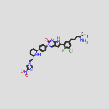 C[C@H](N)CCCc1cc(Cl)c(F)c(-c2cc3cn(-c4ccc([C@@H]5CCC[C@@H](CCn6cnc([N+](=O)[O-])c6)N5)cc4)c(=O)nc3[nH]2)c1